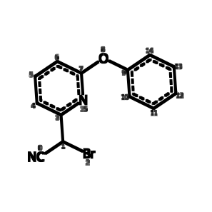 N#CC(Br)c1cccc(Oc2ccccc2)n1